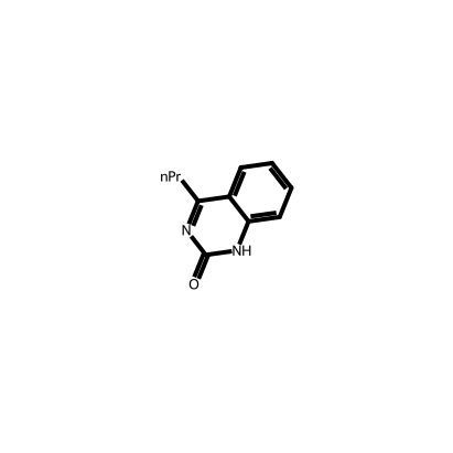 CCCc1nc(=O)[nH]c2ccccc12